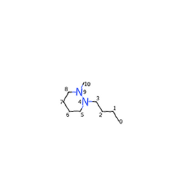 CCCCN1CCCCN1C